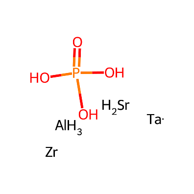 O=P(O)(O)O.[AlH3].[SrH2].[Ta].[Zr]